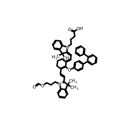 CC1(C)C(/C=C/C2=C(Oc3ccc(-c4ccccc4-c4ccccc4)cc3)C(=C/C=C3/N(CCCC(=O)O)c4ccccc4C3(C)C)/CCC2)=[N+](CCCOC=O)c2ccccc21